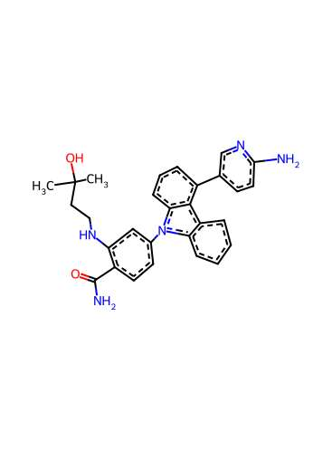 CC(C)(O)CCNc1cc(-n2c3ccccc3c3c(-c4ccc(N)nc4)cccc32)ccc1C(N)=O